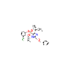 CCn1c(COCc2ccccc2)nc(C(C)C)c1S(=O)(=O)Oc1cccc(Cl)c1